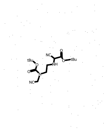 CC(C)(C)OC(=O)C(C#N)NCCN(CC#N)C(=O)OC(C)(C)C